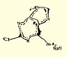 Nc1nc(Cl)nc2[nH]cnc12.[NaH]